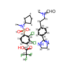 CN(C1CCCC1)S(=O)(=O)c1cccc(Cl)c1Cl.CN(C=O)CCc1ccc(C2=NCCN2)cc1.O=C(O)C(F)(F)F